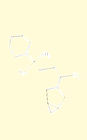 CC(CCC(C)(C)N1CCCCC1)N1CC2CC2C1